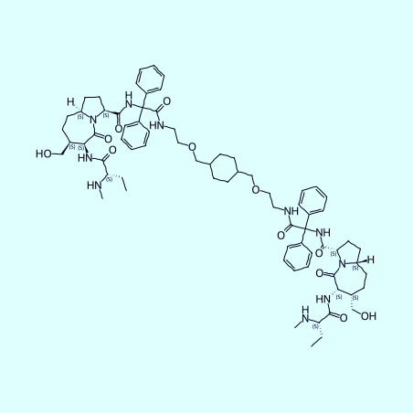 CC[C@H](NC)C(=O)N[C@@H]1C(=O)N2[C@@H](CC[C@@H]1CO)CC[C@H]2C(=O)NC(C(=O)NCCOCC1CCC(COCCNC(=O)C(NC(=O)[C@@H]2CC[C@@H]3CC[C@H](CO)[C@H](NC(=O)[C@H](CC)NC)C(=O)N32)(c2ccccc2)c2ccccc2)CC1)(c1ccccc1)c1ccccc1